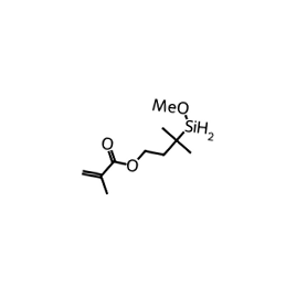 C=C(C)C(=O)OCCC(C)(C)[SiH2]OC